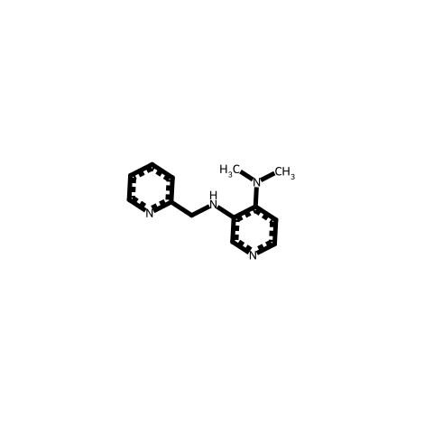 CN(C)c1ccncc1NCc1ccccn1